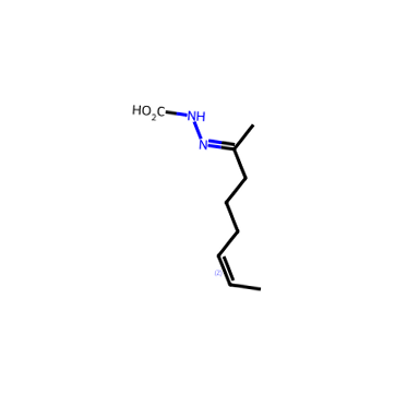 C/C=C\CCCC(C)=NNC(=O)O